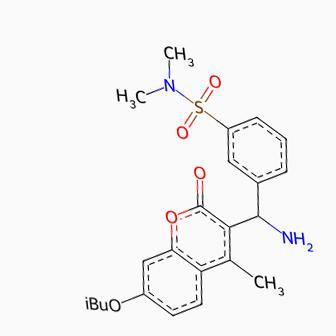 Cc1c(C(N)c2cccc(S(=O)(=O)N(C)C)c2)c(=O)oc2cc(OCC(C)C)ccc12